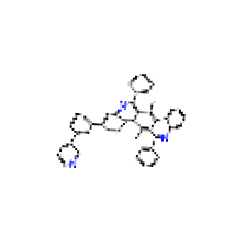 Cc1c2c(-c3ccccc3)nc3cc(-c4cccc(-c5cccnc5)c4)ccc3c2c(C)c2c(-c3ccccc3)nc3ccccc3c12